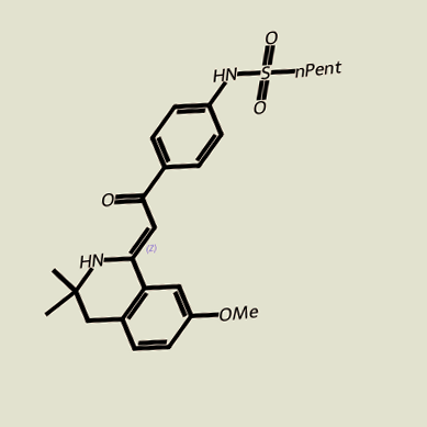 CCCCCS(=O)(=O)Nc1ccc(C(=O)/C=C2\NC(C)(C)Cc3ccc(OC)cc32)cc1